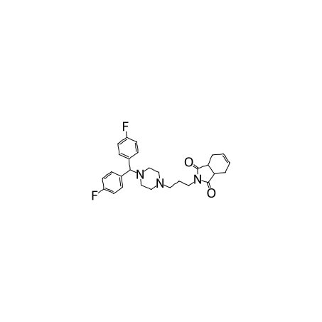 O=C1C2CC=CCC2C(=O)N1CCCN1CCN(C(c2ccc(F)cc2)c2ccc(F)cc2)CC1